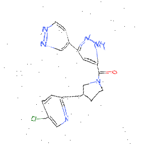 O=C(c1cc(-c2ccnnc2)n[nH]1)N1CCC(c2ccc(Cl)cn2)C1